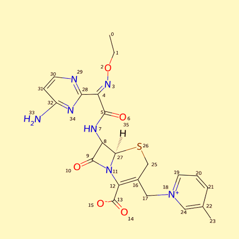 CCO/N=C(/C(=O)NC1C(=O)N2C(C(=O)[O-])=C(C[n+]3cccc(C)c3)CS[C@H]12)c1nccc(N)n1